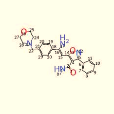 CNC(=O)c1c(-c2ccccc2)noc1C=C(N)c1ccc(CN2CCOCC2)cc1